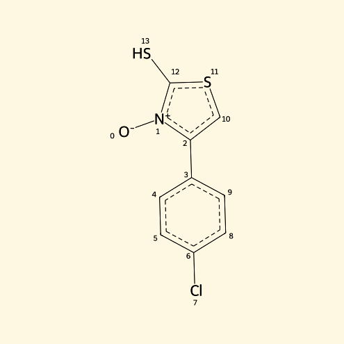 [O-][n+]1c(-c2ccc(Cl)cc2)csc1S